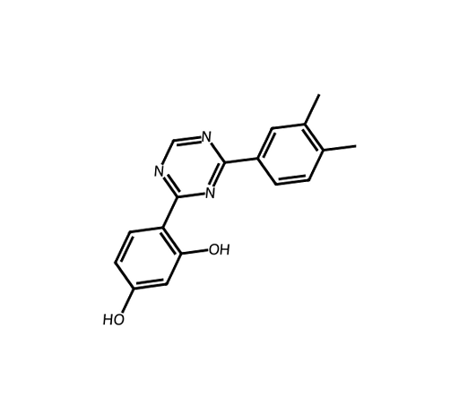 Cc1ccc(-c2ncnc(-c3ccc(O)cc3O)n2)cc1C